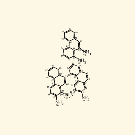 Nc1cc2ccc3ccccc3c2cc1N.Nc1ccc2c(ccc3ccccc32)c1N.Nc1cccc2c1c(N)cc1ccccc12